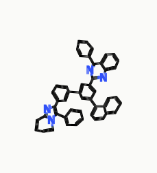 c1ccc(-c2nc(-c3cc(-c4cccc(-c5nc6ccccn6c5-c5ccccc5)c4)cc(-c4cccc5ccccc45)c3)nc3ccccc23)cc1